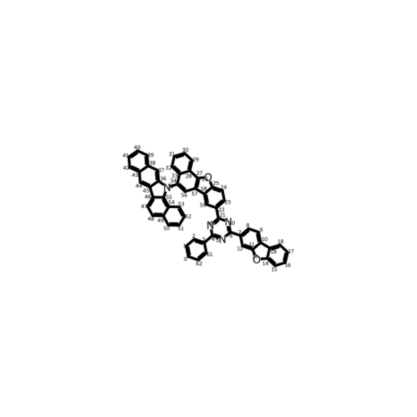 c1ccc(-c2nc(-c3ccc4c(c3)oc3ccccc34)nc(-c3ccc4oc5c6ccccc6c(-n6c7cc8ccccc8cc7c7ccc8ccccc8c76)cc5c4c3)n2)cc1